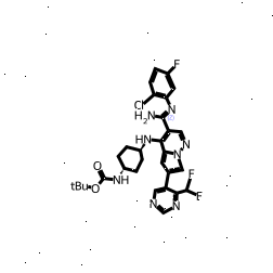 CC(C)(C)OC(=O)N[C@H]1CC[C@H](Nc2c(/C(N)=N/c3cc(F)ccc3Cl)cnn3cc(-c4cncnc4C(F)F)cc23)CC1